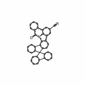 N#Cc1cc2c3ccccc3c(=O)n3c4c5c(ccc4c(c1)c23)C1(c2ccccc2-c2ccccc21)c1ccccc1-5